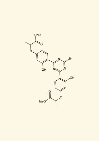 COC(=O)C(C)Oc1ccc(-c2nc(Br)nc(-c3ccc(OC(C)C(=O)OC)cc3O)n2)c(O)c1